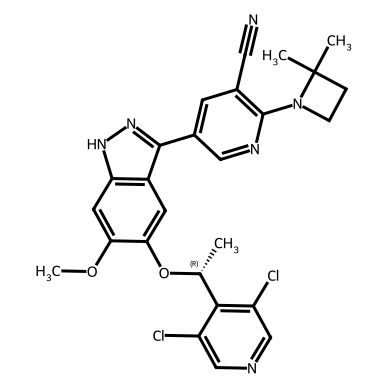 COc1cc2[nH]nc(-c3cnc(N4CCC4(C)C)c(C#N)c3)c2cc1O[C@H](C)c1c(Cl)cncc1Cl